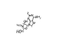 Nc1nc(I)nc2c1ncn2C1OC(CO)[C@@H](O)C1O